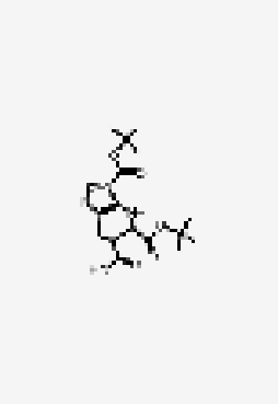 CC(C)(C)OC(=O)C1Nc2c(ncn2C(=O)OC(C)(C)C)CC1C(=O)O